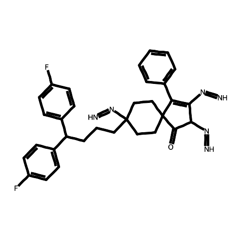 N=NC1=C(c2ccccc2)C2(CCC(CCCC(c3ccc(F)cc3)c3ccc(F)cc3)(N=N)CC2)C(=O)C1N=N